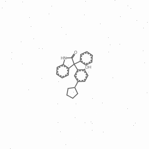 O=C1Nc2ccccc2C1(c1ccccc1)c1cc(C2CCCC2)ccc1O